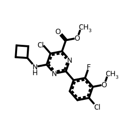 COC(=O)c1nc(-c2ccc(Cl)c(OC)c2F)nc(NC2CCC2)c1Cl